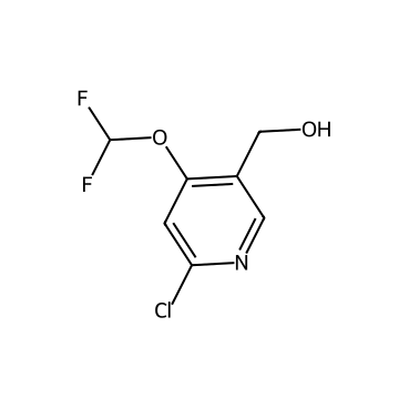 OCc1cnc(Cl)cc1OC(F)F